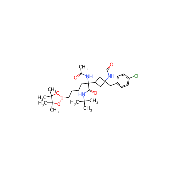 CC(=O)NC(CCCCB1OC(C)(C)C(C)(C)O1)(C(=O)NC(C)(C)C)C1CC(Cc2ccc(Cl)cc2)(NC=O)C1